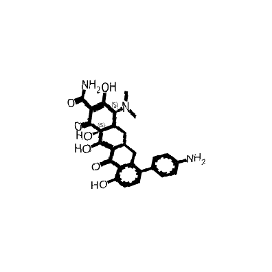 CN(C)[C@@H]1C(O)=C(C(N)=O)C(=O)[C@@]2(O)C(O)=C3C(=O)c4c(O)ccc(-c5ccc(N)cc5)c4CC3CC12